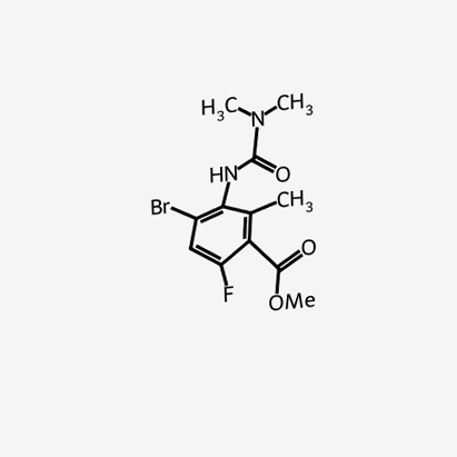 COC(=O)c1c(F)cc(Br)c(NC(=O)N(C)C)c1C